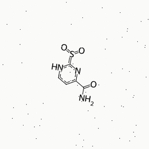 NC(=O)c1cc[nH]c(=S(=O)=O)n1